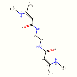 CN/C(C)=C\C(=O)NCCNC(=O)/C=C(/C)NC